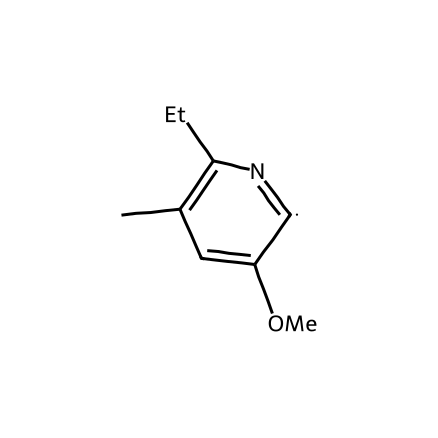 CCc1n[c]c(OC)cc1C